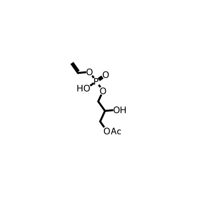 C=COP(=O)(O)OCC(O)COC(C)=O